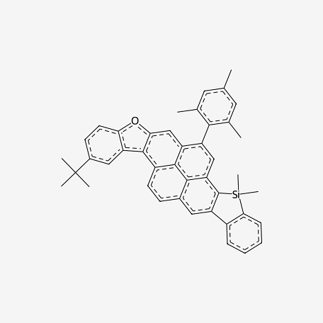 Cc1cc(C)c(-c2cc3c4c(cc5ccc6c7c(cc2c6c53)oc2ccc(C(C)(C)C)cc27)-c2ccccc2[Si]4(C)C)c(C)c1